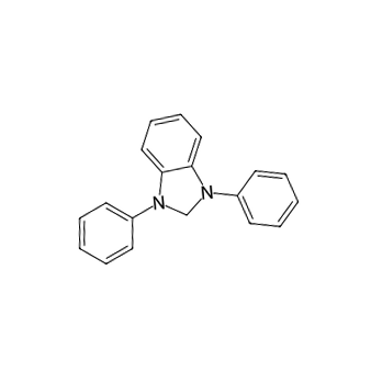 c1ccc(N2CN(c3ccccc3)c3ccccc32)cc1